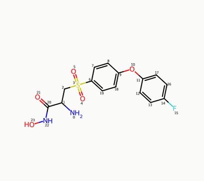 NC(CS(=O)(=O)c1ccc(Oc2ccc(F)cc2)cc1)C(=O)NO